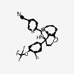 N#Cc1ccc(C(=O)NC2(c3ccc(OC(F)(F)F)c(F)c3)CCOc3cccnc32)nc1